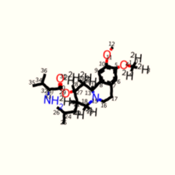 [2H]C([2H])([2H])Oc1cc2c(cc1OC)C1([2H])N(CC2)C([2H])([2H])C([2H])(CC(C)C)C([2H])(OC(=O)[C@@H](N)C(C)C)C1([2H])[2H]